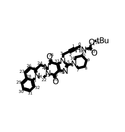 CC#CCn1c(N2CCC[C@@H](NC(=O)OC(C)(C)C)C2)nc2c(=O)n(C)n(Cc3ccc4ccccc4n3)c(=O)c21